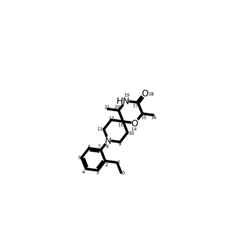 CCc1ccccc1N1CCC2(CC1)OC(C)C(=O)NC2C